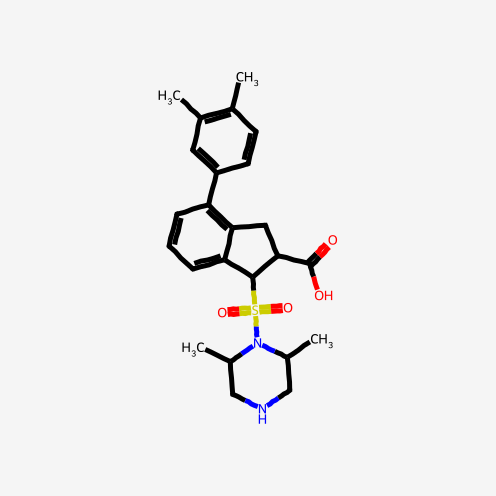 Cc1ccc(-c2cccc3c2CC(C(=O)O)C3S(=O)(=O)N2C(C)CNCC2C)cc1C